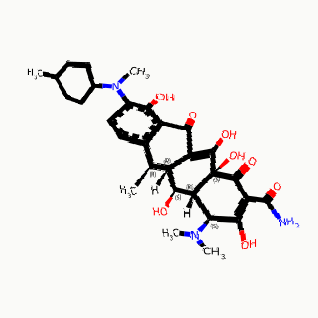 CC1CCC(N(C)c2ccc3c(c2O)C(=O)C2=C(O)[C@]4(O)C(=O)C(C(N)=O)=C(O)[C@@H](N(C)C)[C@@H]4[C@@H](O)[C@@H]2[C@H]3C)CC1